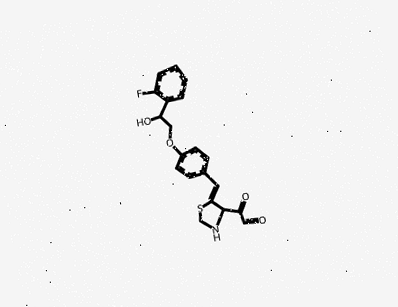 O=CC(=O)C1NCSC1=Cc1ccc(OCC(O)c2ccccc2F)cc1